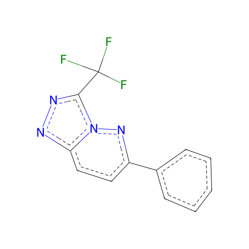 FC(F)(F)c1nnc2ccc(-c3ccccc3)nn12